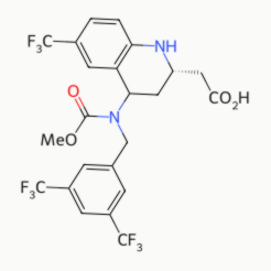 COC(=O)N(Cc1cc(C(F)(F)F)cc(C(F)(F)F)c1)C1C[C@@H](CC(=O)O)Nc2ccc(C(F)(F)F)cc21